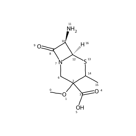 COC1(C(=O)O)CN2C(=O)[C@@H](N)[C@H]2SC1C